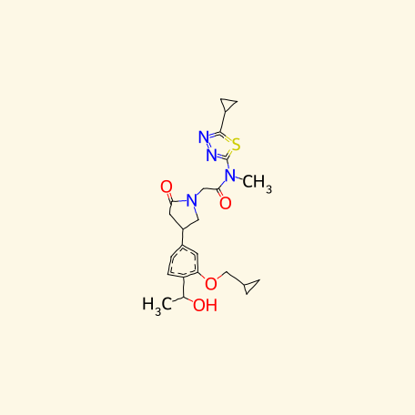 CC(O)c1ccc(C2CC(=O)N(CC(=O)N(C)c3nnc(C4CC4)s3)C2)cc1OCC1CC1